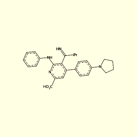 CC(C)C(=N)c1c(-c2ccc(N3CCCC3)cc2)cc(C(=O)O)nc1Nc1ccccc1